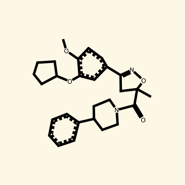 COc1ccc(C2=NOC(C)(C(=O)N3CC[C](c4ccccc4)CC3)C2)cc1OC1CCCC1